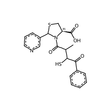 CC(C(=O)N1C(c2cccnc2)SC[C@H]1C(=O)O)C(S)C(=O)c1ccccc1